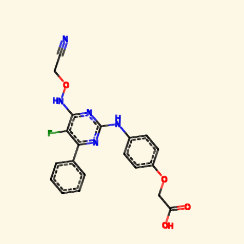 N#CCONc1nc(Nc2ccc(OCC(=O)O)cc2)nc(-c2ccccc2)c1F